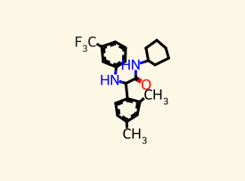 Cc1ccc(C(Nc2cccc(C(F)(F)F)c2)C(=O)NC2CCCCC2)c(C)c1